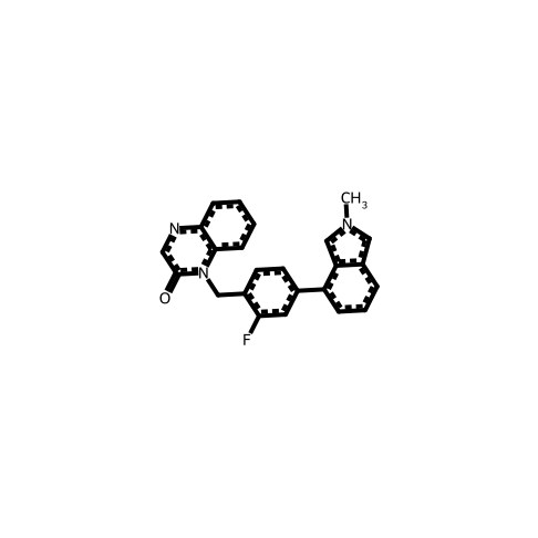 Cn1cc2cccc(-c3ccc(Cn4c(=O)cnc5ccccc54)c(F)c3)c2c1